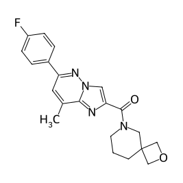 Cc1cc(-c2ccc(F)cc2)nn2cc(C(=O)N3CCCC4(COC4)C3)nc12